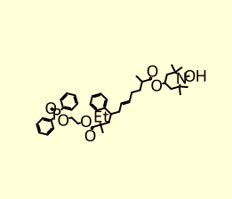 CCC(C)(CC(C/C=C/CCC(C)C(=O)OC1CC(C)(C)N(O)C(C)(C)C1)c1ccccc1)C(=O)OCCOP(=O)(c1ccccc1)c1ccccc1